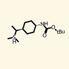 CC([C@H]1CC[C@H](NC(=O)OC(C)(C)C)CC1)[SH](C)C